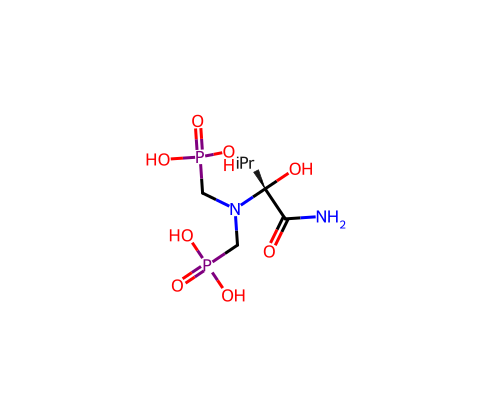 CC(C)[C@@](O)(C(N)=O)N(CP(=O)(O)O)CP(=O)(O)O